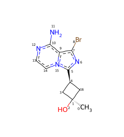 C[C@]1(O)C[C@@H](c2nc(Br)c3c(N)nccn32)C1